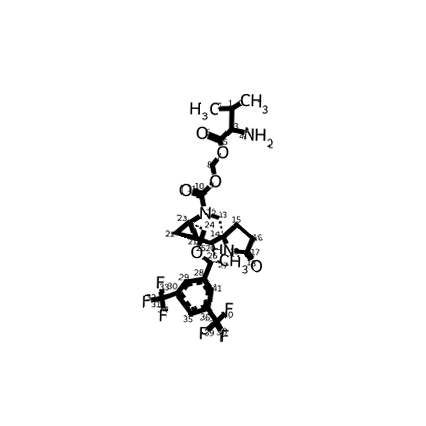 CC(C)C(N)C(=O)OCOC(=O)N1C[C@@]2(CCC(=O)N2)CC2C[C@]21CO[C@H](C)c1cc(C(F)(F)F)cc(C(F)(F)F)c1